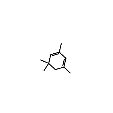 [CH2]C1(C)C=C(C)C=C(C)C1